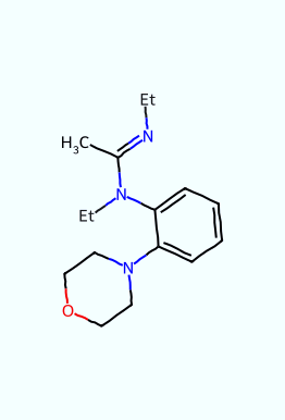 CCN=C(C)N(CC)c1ccccc1N1CCOCC1